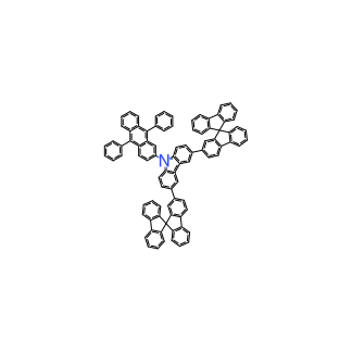 c1ccc(-c2c3ccccc3c(-c3ccccc3)c3cc(-n4c5ccc(-c6ccc7c(c6)C6(c8ccccc8-c8ccccc86)c6ccccc6-7)cc5c5cc(-c6ccc7c(c6)C6(c8ccccc8-c8ccccc86)c6ccccc6-7)ccc54)ccc23)cc1